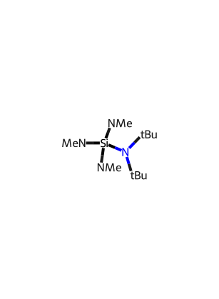 CN[Si](NC)(NC)N(C(C)(C)C)C(C)(C)C